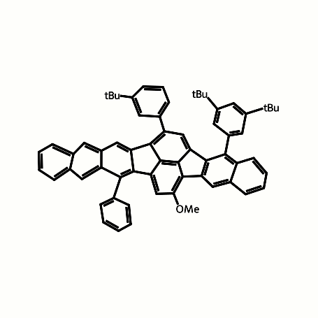 COc1cc2c3c(c(-c4cccc(C(C)(C)C)c4)cc4c3c1-c1cc3ccccc3c(-c3cc(C(C)(C)C)cc(C(C)(C)C)c3)c1-4)-c1cc3cc4ccccc4cc3c(-c3ccccc3)c1-2